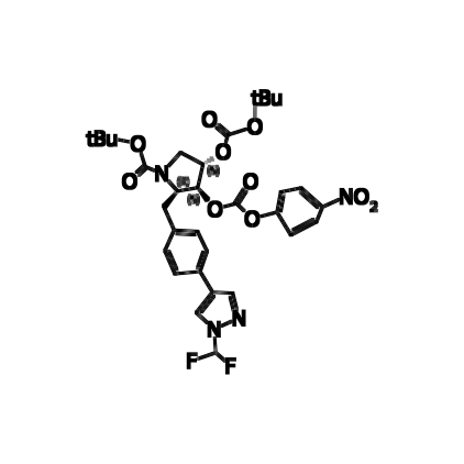 CC(C)(C)OC(=O)O[C@H]1CN(C(=O)OC(C)(C)C)[C@H](Cc2ccc(-c3cnn(C(F)F)c3)cc2)[C@@H]1OC(=O)Oc1ccc([N+](=O)[O-])cc1